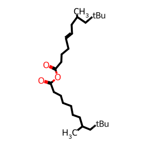 CC(CC=CCCCC(=O)OC(=O)CCCCCCC(C)CC(C)(C)C)CC(C)(C)C